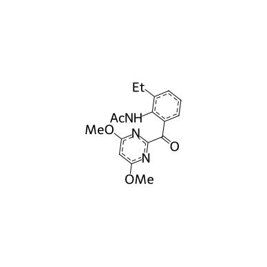 CCc1cccc(C(=O)c2nc(OC)cc(OC)n2)c1NC(C)=O